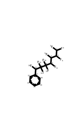 FC(F)C(F)C(F)C(F)C(F)(F)C(F)(I)C(F)c1ccccc1